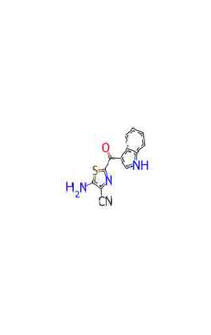 N#Cc1nc(C(=O)c2c[nH]c3ccccc23)sc1N